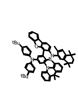 Cc1cc2c(cc1N1B3c4cccc5c4N(c4ccccc4C5(C)C)c4cc(N(c5ccc(C(C)(C)C)cc5)c5ccc(C(C)(C)C)cc5)cc(c43)-c3c1ccc1c3oc3ccccc31)C(C)(C)CCC2(C)C